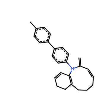 C=C1/C=C\CCCC2=C(C=CCC2)N1c1ccc(-c2ccc(C)cc2)cc1